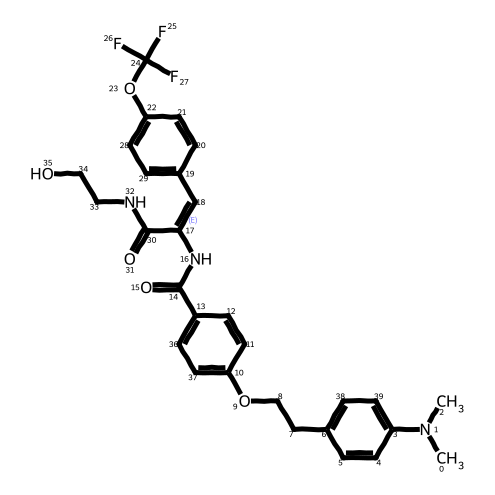 CN(C)c1ccc(CCOc2ccc(C(=O)N/C(=C/c3ccc(OC(F)(F)F)cc3)C(=O)NCCO)cc2)cc1